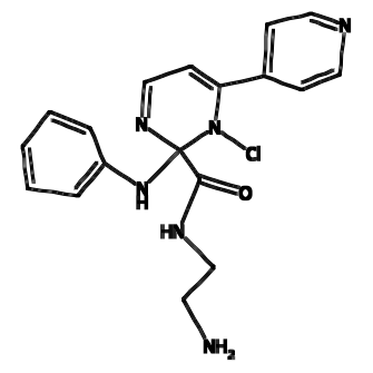 NCCNC(=O)C1(Nc2ccccc2)N=CC=C(c2ccncc2)N1Cl